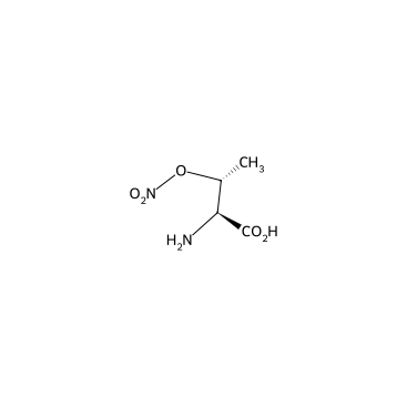 C[C@@H](O[N+](=O)[O-])[C@H](N)C(=O)O